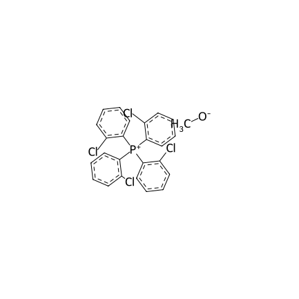 C[O-].Clc1ccccc1[P+](c1ccccc1Cl)(c1ccccc1Cl)c1ccccc1Cl